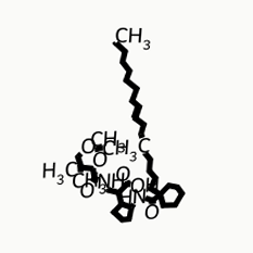 CCCCCCCCC=CCCCCCCCCC1(C(=O)NC2CCCC2C(CNC(=O)C2OC(C)(C)OCC2(C)C)C(=O)O)CCCCC1